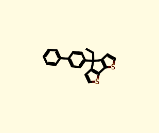 CCC1(c2ccc(-c3ccccc3)cc2)c2ccsc2-c2sccc21